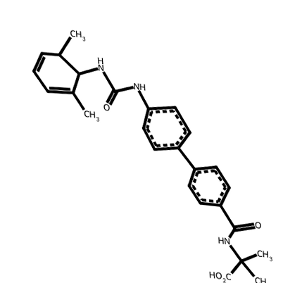 CC1=CC=CC(C)C1NC(=O)Nc1ccc(-c2ccc(C(=O)NC(C)(C)C(=O)O)cc2)cc1